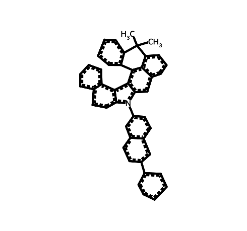 CC1(C)c2ccccc2-c2c3c1cccc3cc1c2c2c3ccccc3ccc2n1-c1ccc2cc(-c3ccccc3)ccc2c1